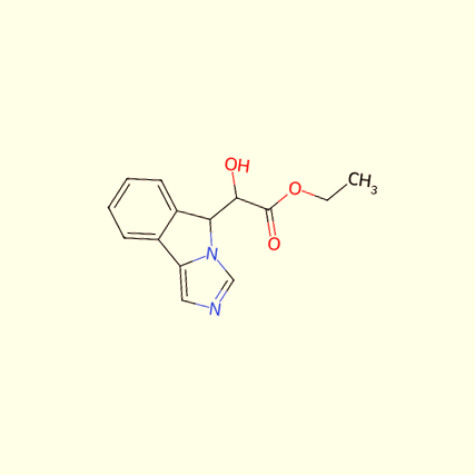 CCOC(=O)C(O)C1c2ccccc2-c2cncn21